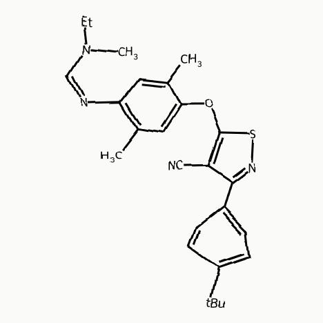 CCN(C)/C=N\c1cc(C)c(Oc2snc(-c3ccc(C(C)(C)C)cc3)c2C#N)cc1C